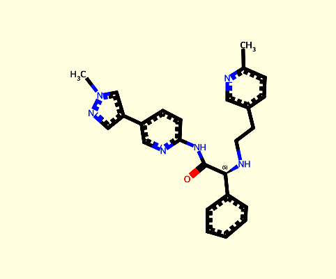 Cc1ccc(CCN[C@H](C(=O)Nc2ccc(-c3cnn(C)c3)cn2)c2ccccc2)cn1